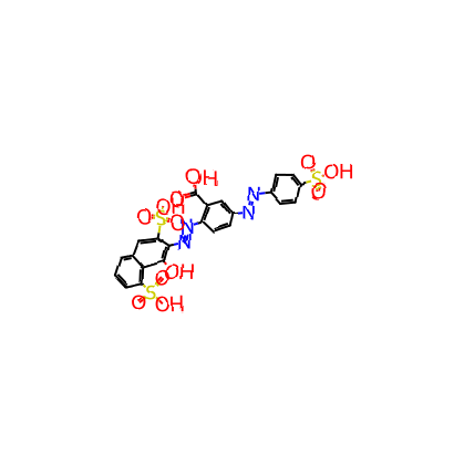 O=C(O)c1cc(/N=N/c2ccc(S(=O)(=O)O)cc2)ccc1/N=N/c1c(S(=O)(=O)O)cc2cccc(S(=O)(=O)O)c2c1O